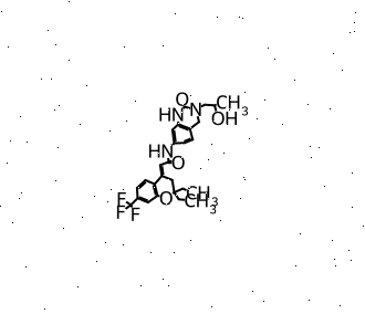 CCC1(CC)C/C(=C\C(=O)Nc2ccc3c(c2)NC(=O)N(C[C@@H](C)O)C3)c2ccc(C(F)(F)F)cc2O1